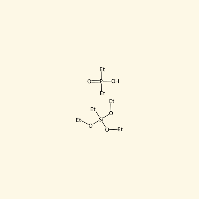 CCO[Si](CC)(OCC)OCC.CCP(=O)(O)CC